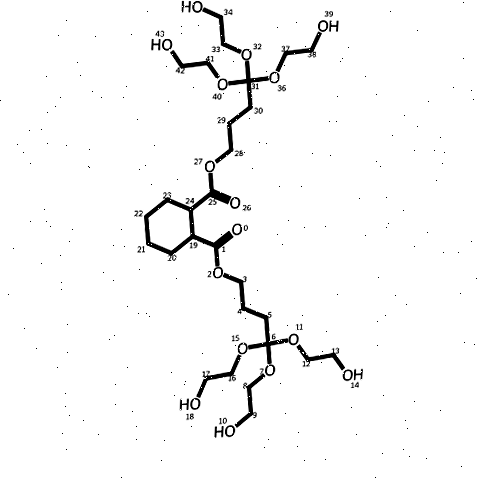 O=C(OCCCC(OCCO)(OCCO)OCCO)C1CCCCC1C(=O)OCCCC(OCCO)(OCCO)OCCO